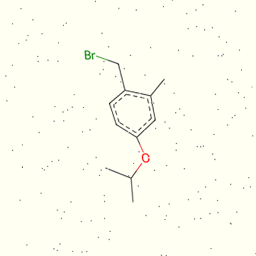 Cc1cc(OC(C)C)ccc1CBr